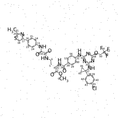 COC(=O)[C@H](CCNC(=O)C(=O)Nc1ccc(-c2csc(C)n2)cc1)NC(=O)c1ccc(Nc2nc(NC3(c4ccc(Cl)cc4)CC3)nc(OCC(F)(F)F)n2)cc1